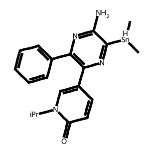 CC(C)n1cc(-c2n[c]([SnH]([CH3])[CH3])c(N)nc2-c2ccccc2)ccc1=O